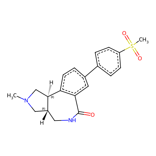 CN1C[C@H]2CNC(=O)c3cc(-c4ccc(S(C)(=O)=O)cc4)ccc3[C@@H]2C1